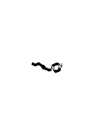 CCCC#CCN1CC[N]CC1